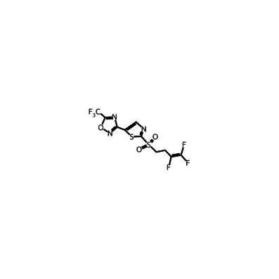 O=S(=O)(CCC(F)=C(F)F)c1ncc(-c2noc(C(F)(F)F)n2)s1